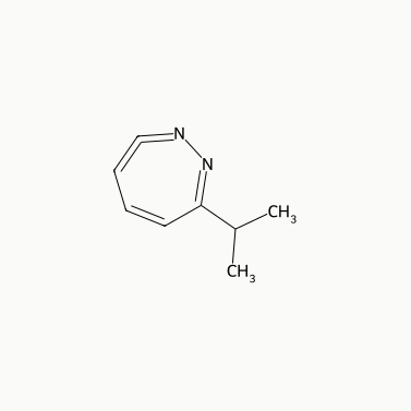 CC(C)C1=NN=C=CC=C1